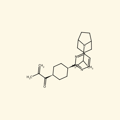 C=C(C)C(=O)[C@H]1CC[C@@H](c2nccc(N3C4CCC3CN(C(C)C)C4)n2)CC1